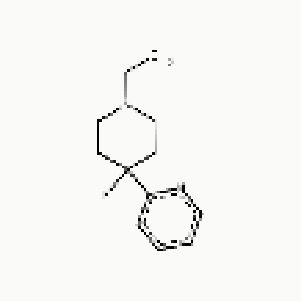 CCN1CCC(F)(c2ccccn2)CC1